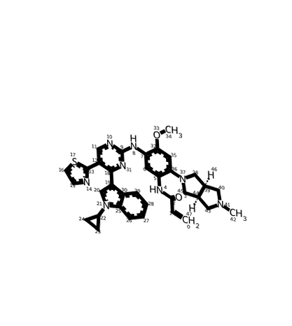 C=CC(=O)Nc1cc(Nc2ncc(-c3nccs3)c(-c3cn(C4CC4)c4ccccc34)n2)c(OC)cc1N1C[C@H]2CN(C)C[C@H]2C1